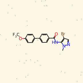 Cn1ncc(Br)c1NC(=O)c1ccc(-c2ccc(OC(F)(F)F)cc2)cc1